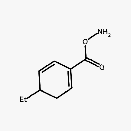 CCC1C=CC(C(=O)ON)=CC1